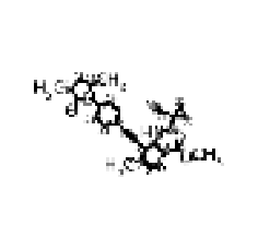 COC(=O)c1ncc(C)c(C#Cc2ccc(N3C(=O)C(C)CC3C)cc2)c1NCC1(C#N)CC1